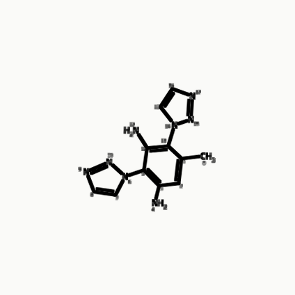 Cc1cc(N)c(-n2ccnn2)c(N)c1-n1ccnn1